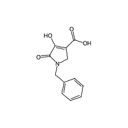 O=C(O)C1=C(O)C(=O)N(Cc2ccccc2)C1